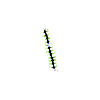 FC(F)(F)C(F)(F)C(F)(F)C(F)(F)C(F)(F)C(F)(F)C(F)(F)C(F)(F)[N+](F)(F)C(F)(F)C(F)(F)C(F)(F)C(F)(F)C(F)(F)F